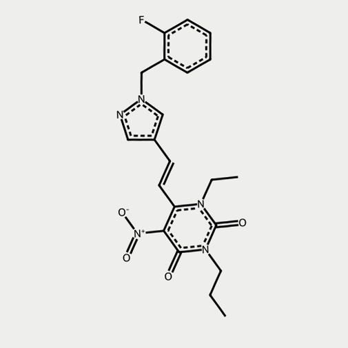 CCCn1c(=O)c([N+](=O)[O-])c(C=Cc2cnn(Cc3ccccc3F)c2)n(CC)c1=O